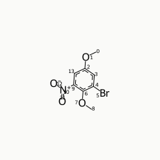 COc1cc(Br)c(OC)c([N+](=O)[O-])c1